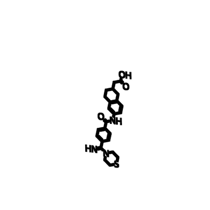 N=C(c1ccc(C(=O)Nc2ccc3c(c2)CCC(CC(=O)O)C3)cc1)N1CCSCC1